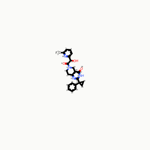 O=C(C(O)c1cccc(C(F)(F)F)n1)N1CCc2nc(C3(c4ccccc4)CC3)[nH]c(=O)c2C1